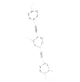 CCCCCCCCc1ccc(C#Cc2ccc(C#Cc3ccc(CC)cc3)c(F)c2)cc1